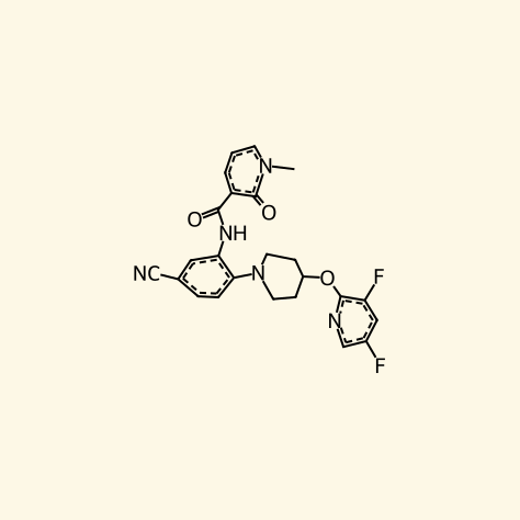 Cn1cccc(C(=O)Nc2cc(C#N)ccc2N2CCC(Oc3ncc(F)cc3F)CC2)c1=O